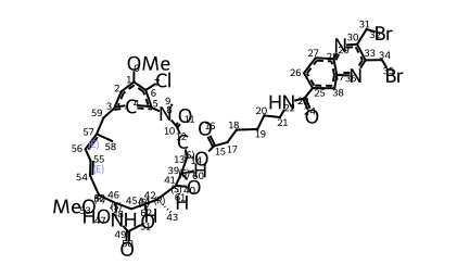 COc1cc2cc(c1Cl)N(C)C(=O)C[C@H](OC(=O)CCCCCNC(=O)c1ccc3nc(CBr)c(CBr)nc3c1)[C@@H]1O[C@H]1[C@H](C)[C@@H]1C[C@@](O)(NC(=O)O1)[C@H](OC)/C=C/C=C(\C)C2